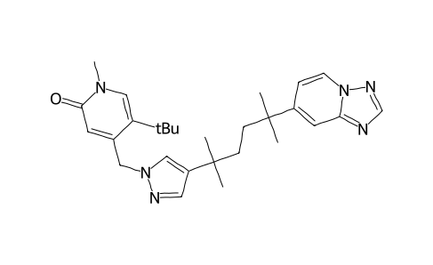 Cn1cc(C(C)(C)C)c(Cn2cc(C(C)(C)CCC(C)(C)c3ccn4ncnc4c3)cn2)cc1=O